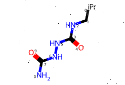 CC(C)CNC(=O)NNC(N)=O